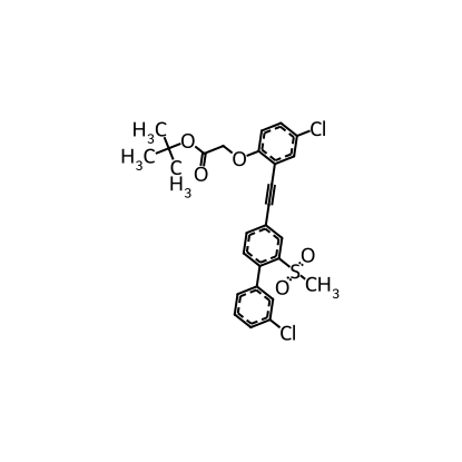 CC(C)(C)OC(=O)COc1ccc(Cl)cc1C#Cc1ccc(-c2cccc(Cl)c2)c(S(C)(=O)=O)c1